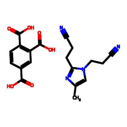 Cc1cn(CCC#N)c(CCC#N)n1.O=C(O)c1ccc(C(=O)O)c(C(=O)O)c1